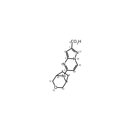 O=C(O)c1cc2nc(N3C4CCC3COC4)ccn2n1